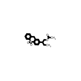 CCC(COC(C)=O)c1ccc2c(c1)Cc1ccccc1S2(=O)=O